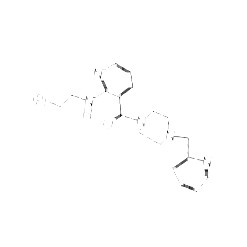 CC(C)CCNc1ncccc1C(=O)N1CCN(Cc2ccccn2)CC1